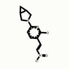 O=[N+]([O-])/C=C/c1ccc(N2CC3CC3C2)nc1Cl